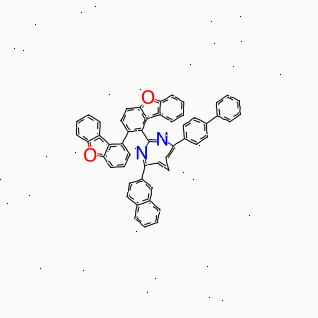 C1=C/C(c2ccc3ccccc3c2)=N\C(c2c(-c3cccc4oc5ccccc5c34)ccc3oc4ccccc4c23)=N/C(c2ccc(-c3ccccc3)cc2)=C/1